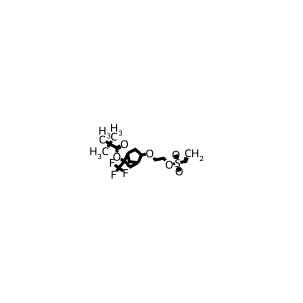 C=CS(=O)(=O)OCCOC1CC2CC1CC2(OC(=O)C(C)(C)C)C(F)(F)F